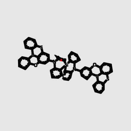 c1ccc2c(c1)Oc1cc(N3c4ccccc4[Si]4(c5ccccc5N(c5ccc6c(c5)Oc5cccc7c5B6c5ccccc5S7)c5ccccc54)c4ccccc43)cc3c1B2c1ccccc1S3